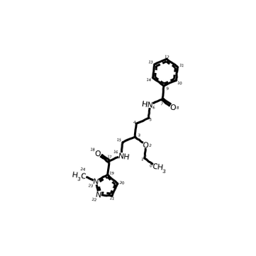 CCOC(CCNC(=O)c1ccccc1)CNC(=O)c1ccnn1C